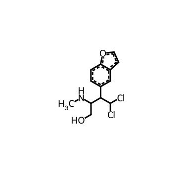 CNC(CO)C(c1ccc2occc2c1)C(Cl)Cl